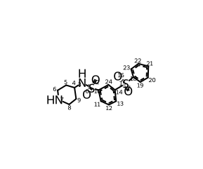 O=S(=O)(NC1CCNCC1)c1cccc(S(=O)(=O)c2ccccc2)c1